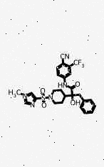 Cn1cnc(S(=O)(=O)N2CCC(C(O)(Cc3ccccc3)C(=O)Nc3ccc(C#N)c(C(F)(F)F)c3)CC2)c1